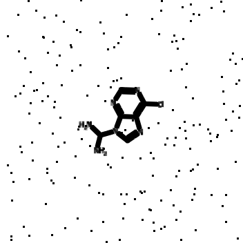 NC(N)n1cnc2c(Cl)ncnc21